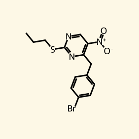 CCCSc1ncc([N+](=O)[O-])c(Cc2ccc(Br)cc2)n1